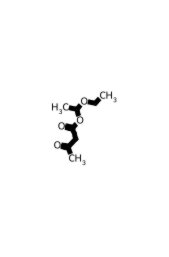 CCOC(C)OC(=O)CC(C)=O